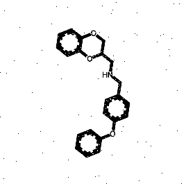 c1ccc(Oc2ccc(CNCC3COc4ccccc4O3)cc2)cc1